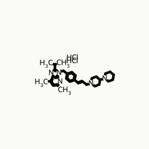 Cc1cc(C)c2nc(C(C)C)n(Cc3ccc(/C=C/CN4CCC(N5CCCCC5)CC4)cc3)c2n1.Cl.Cl